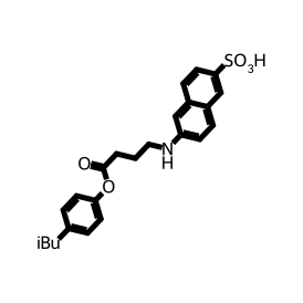 CCC(C)c1ccc(OC(=O)CCCNc2ccc3cc(S(=O)(=O)O)ccc3c2)cc1